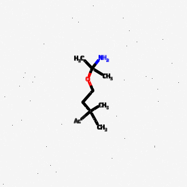 CC(=O)C(C)(C)CCOC(C)(C)N